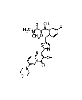 CN(C)C(=O)C(=O)N(C)c1cc(F)ccc1Cc1cnc(-c2nc3ccc(N4CCOCC4)cn3c(=O)c2O)s1